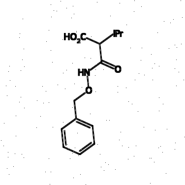 CC(C)C(C(=O)O)C(=O)NOCc1ccccc1